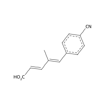 CC(/C=C/C(=O)O)=C\c1ccc(C#N)cc1